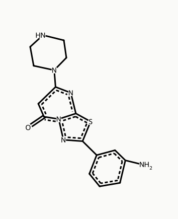 Nc1cccc(-c2nn3c(=O)cc(N4CCNCC4)nc3s2)c1